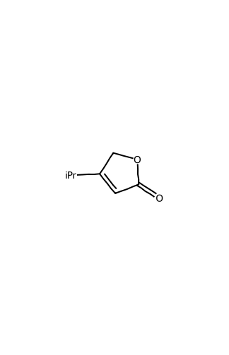 CC(C)C1=CC(=O)OC1